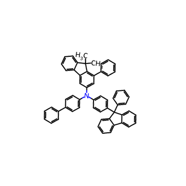 CC1(C)c2ccccc2-c2cc(N(c3ccc(-c4ccccc4)cc3)c3ccc(C4(c5ccccc5)c5ccccc5-c5ccccc54)cc3)cc(-c3ccccc3)c21